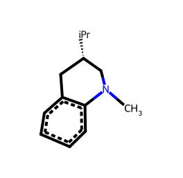 CC(C)[C@H]1Cc2ccccc2N(C)C1